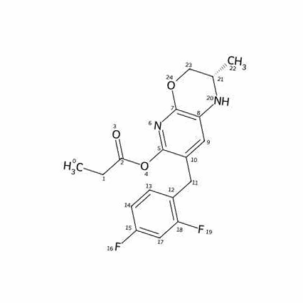 CCC(=O)Oc1nc2c(cc1Cc1ccc(F)cc1F)N[C@@H](C)CO2